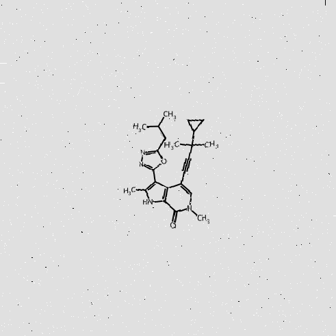 Cc1[nH]c2c(=O)n(C)cc(C#CC(C)(C)C3CC3)c2c1-c1nnc(CC(C)C)o1